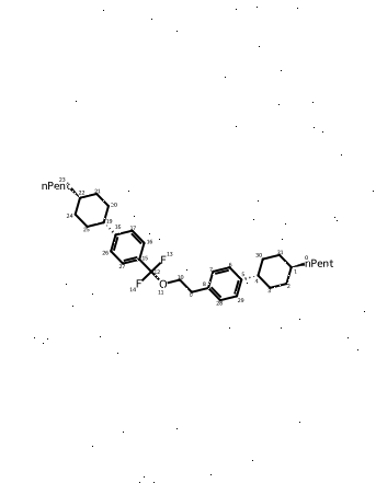 CCCCC[C@H]1CC[C@H](c2ccc(CCOC(F)(F)c3ccc([C@H]4CC[C@H](CCCCC)CC4)cc3)cc2)CC1